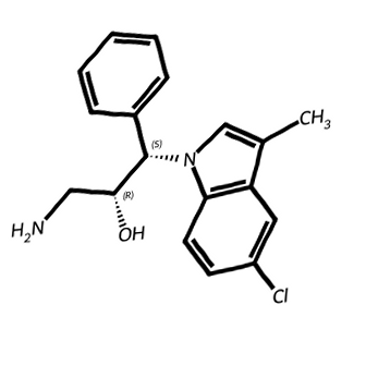 Cc1cn([C@@H](c2ccccc2)[C@H](O)CN)c2ccc(Cl)cc12